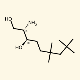 CC(C)(C)CC(C)(C)CC[C@@H](O)[C@@H](N)CO